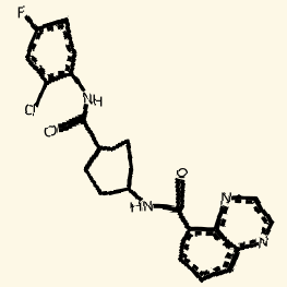 O=C(NC1CCC(C(=O)Nc2ccc(F)cc2Cl)CC1)c1cccc2nccnc12